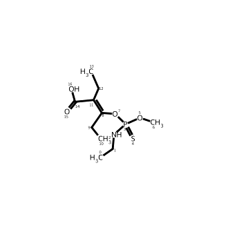 CCNP(=S)(OC)O/C(CC)=C(\CC)C(=O)O